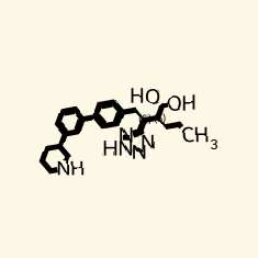 CCC[C@H](C(O)O)[C@H](Cc1ccc(-c2cccc(C3CCCNC3)c2)cc1)c1nn[nH]n1